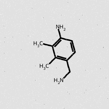 Cc1c(N)ccc(CN)c1C